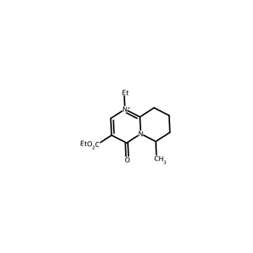 CCOC(=O)c1c[n+](CC)c2n(c1=O)C(C)CCC2